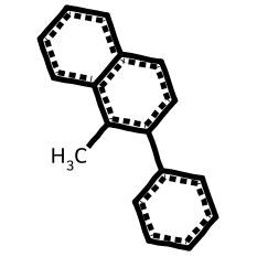 Cc1c(-c2ccccc2)ccc2ccccc12